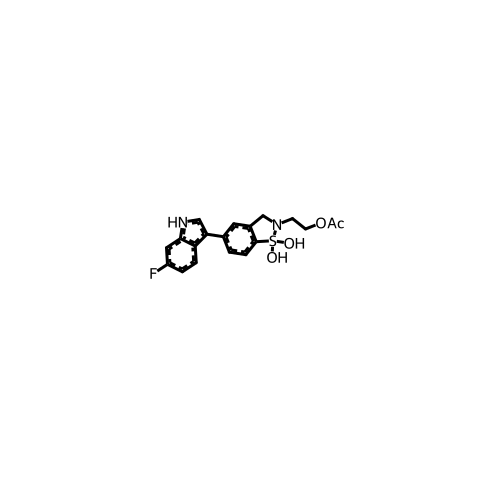 CC(=O)OCCN1Cc2cc(-c3c[nH]c4cc(F)ccc34)ccc2S1(O)O